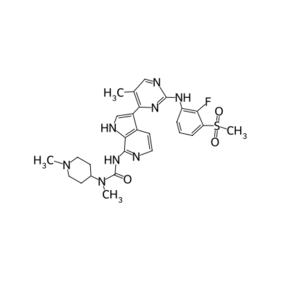 Cc1cnc(Nc2cccc(S(C)(=O)=O)c2F)nc1-c1c[nH]c2c(NC(=O)N(C)C3CCN(C)CC3)nccc12